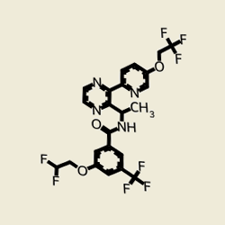 CC(NC(=O)c1cc(OCC(F)F)cc(C(F)(F)F)c1)c1nccnc1-c1ccc(OCC(F)(F)F)cn1